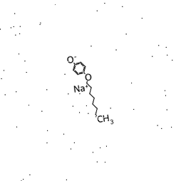 CCCCCCCCOc1ccc([O-])cc1.[Na+]